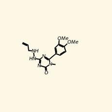 C=CCNNc1nc(-c2ccc(OC)c(OC)c2)n(C)c(=O)n1